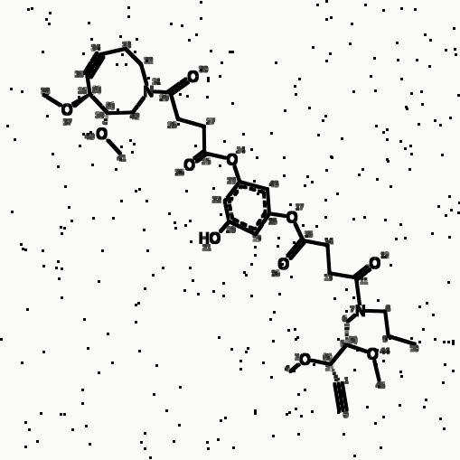 C#C[C@H](OC)[C@H](CN(CCC)C(=O)CCC(=O)Oc1cc(O)cc(OC(=O)CCC(=O)N2CCC#C[C@H](OC)[C@@H](OC)C2)c1)OC